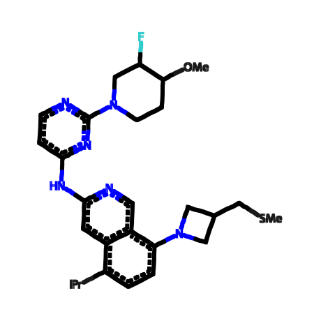 COC1CCN(c2nccc(Nc3cc4c(C(C)C)ccc(N5CC(CSC)C5)c4cn3)n2)CC1F